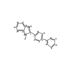 Cn1c(-c2ccc(-c3ccccc3)cc2)nc2ccccc21